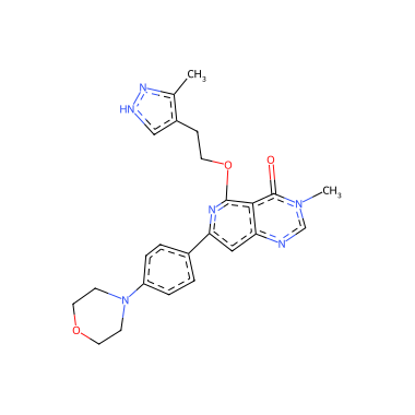 Cc1n[nH]cc1CCOc1nc(-c2ccc(N3CCOCC3)cc2)cc2ncn(C)c(=O)c12